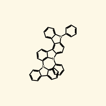 c1ccc(-n2c3ccccc3c3c4c5cccc(-n6c7ccccc7c7ccccc76)c5n(-c5ccccc5)c4ccc32)cc1